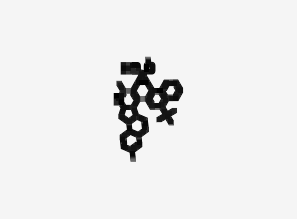 COC1(O)C2C3=C(c4cc(C(C)(C)C)c5ccccc5c4C21)C1C(CC2C4C=CC(C)=CC4C=CC21)N=C3C